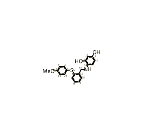 COc1ccc(Sc2ccccc2CNc2ccc(O)cc2O)cc1